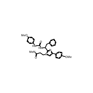 CNC(=O)CCn1cc(-c2ccc(OC)cc2)nc1C(Cc1ccccc1)NC(=O)Nc1ccc(OC)cc1